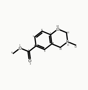 COC(=O)c1ccc2c(c1)CN(C)CO2